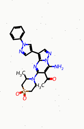 CC(=O)c1c(N2CCS(=O)(=O)CC2C)nc2c(-c3cnn(-c4ccccc4)c3)cnn2c1N